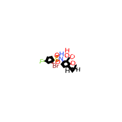 O=C(O)c1c(NS(=O)(=O)c2ccc(F)cc2Br)ccc2c1OC[C@@H]1C[C@H]21